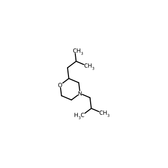 CC(C)CC1CN(CC(C)C)CCO1